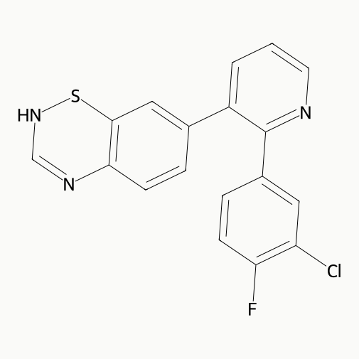 Fc1ccc(-c2ncccc2-c2ccc3c(c2)SNC=N3)cc1Cl